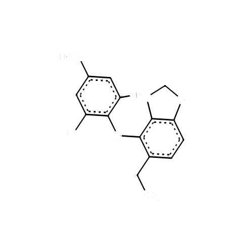 CCCc1cc(C(=O)O)cc(CCC)c1Oc1c(CC(=O)O)ccc2c1OCO2